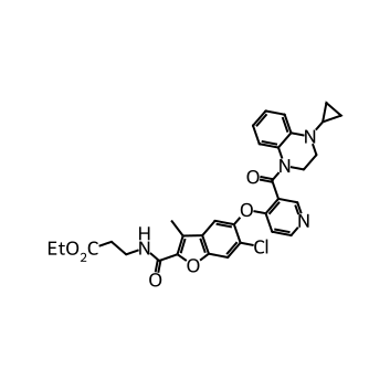 CCOC(=O)CCNC(=O)c1oc2cc(Cl)c(Oc3ccncc3C(=O)N3CCN(C4CC4)c4ccccc43)cc2c1C